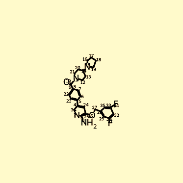 Nc1ncc(-c2ccc(C(=O)N3CCC(N4CCCC4)CC3)cc2)cc1OCc1cc(F)cc(F)c1